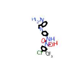 Nc1cccc2c1ccn2-c1ccc(NC(=O)N(O)c2ccc(Cl)c(C(F)(F)F)c2)cc1